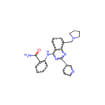 NC(=O)c1ccccc1Nc1nc(-c2cccnc2)nc2c(CN3CCCC3)cccc12